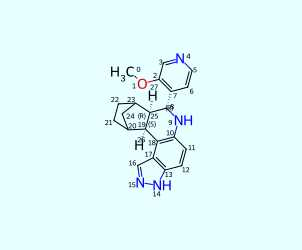 COc1cnccc1[C@@H]1Nc2ccc3[nH]ncc3c2[C@H]2C3CCC(C3)[C@@H]12